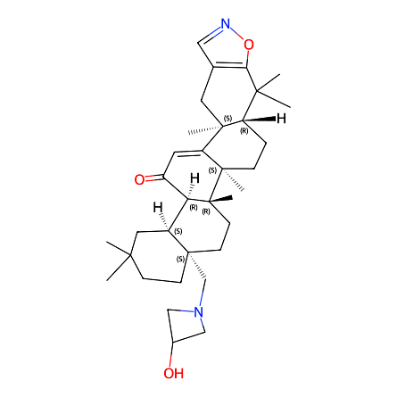 CC1(C)CC[C@]2(CN3CC(O)C3)CC[C@]3(C)[C@H](C(=O)C=C4[C@@]5(C)Cc6cnoc6C(C)(C)[C@@H]5CC[C@]43C)[C@@H]2C1